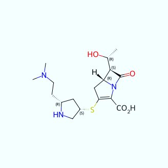 C[C@@H](O)[C@H]1C(=O)N2C(C(=O)O)=C(S[C@@H]3CN[C@H](CCN(C)C)C3)C[C@H]12